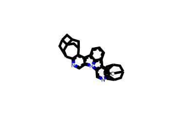 c1cc2c3c4c(ncc3n3c5cnc6c(c5c(c1)c23)C1CC2CC3CC6CC32C1)C1CC2CC(C1)CC4C2